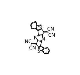 N#CC(C#N)=C1c2nc3c(nc2-c2c1sc1ccccc21)C(=C(C#N)C#N)c1sc2ccccc2c1-3